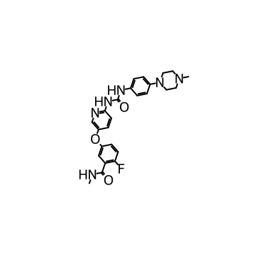 CNC(=O)c1cc(Oc2ccc(NC(=O)Nc3ccc(N4CCN(C)CC4)cc3)nc2)ccc1F